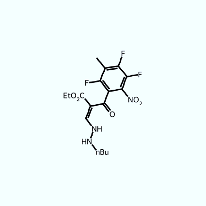 CCCCNN/C=C(/C(=O)OCC)C(=O)c1c(F)c(C)c(F)c(F)c1[N+](=O)[O-]